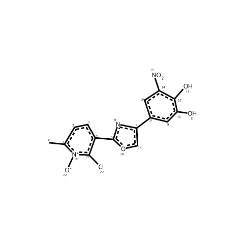 Cc1ccc(-c2nc(-c3cc(O)c(O)c([N+](=O)[O-])c3)co2)c(Cl)[n+]1[O-]